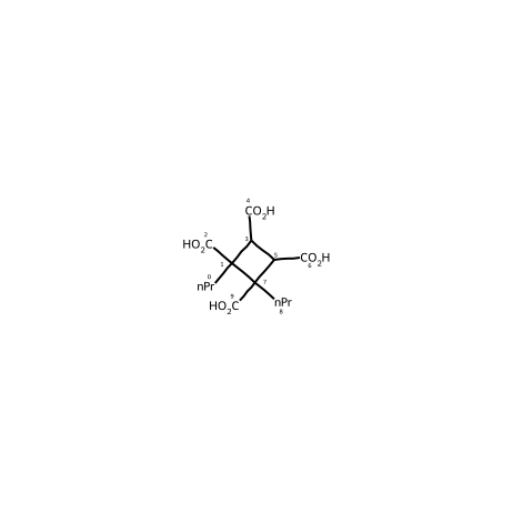 CCCC1(C(=O)O)C(C(=O)O)C(C(=O)O)C1(CCC)C(=O)O